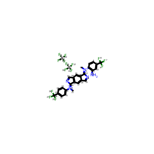 C[N+](c1ccc(C(F)(F)F)cc1N)=c1ncc2cc3/c(=[N+](\C)c4ccc(C(F)(F)F)cc4)ncc3cc12.F[B-](F)(F)F.F[B-](F)(F)F